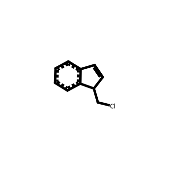 ClCC1C=Cc2ccccc21